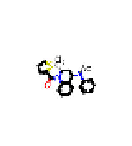 CC(=O)N(c1ccccc1)[C@@H]1C[C@H](C)N(C(=O)c2cccs2)c2ccccc21